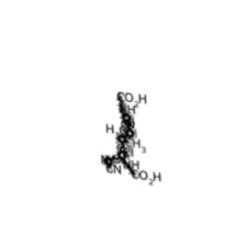 Cc1c(COc2cc(OCc3cncc(C#N)c3)c(CNCCCC(=O)O)cc2Cl)cccc1-c1cccc(-c2nc3ccc(CNCCCC(=O)O)cc3o2)c1C